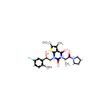 CCOC(=O)c1sc2c(c1C)c(=O)n([C@@H](C)C(=O)N1CCCC1)c(=O)n2C[C@H](O)c1cc(F)ccc1OC